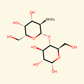 CC(=O)N[C@H]1[C@H](O[C@H]2[C@H](O)[C@@H](O)[C@@H](O)O[C@@H]2CO)O[C@H](CO)[C@H](O)[C@@H]1O